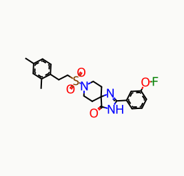 Cc1ccc(CCS(=O)(=O)N2CCC3(CC2)N=C(c2cccc(OF)c2)NC3=O)c(C)c1